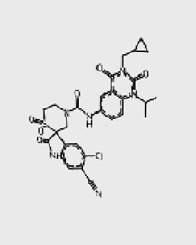 CC(C)n1c(=O)n(CC2CC2)c(=O)c2cc(NC(=O)N3CCS(=O)(=O)C(C(N)=O)(c4ccc(C#N)c(Cl)c4)C3)ccc21